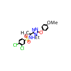 CCn1c(Oc2ccc(OC)cc2)nnc1[C@@H](C)NS(=O)(=O)c1ccc(Cl)c(Cl)c1